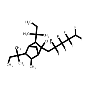 CCC(C)(C)C1C(C)C2CC1C(C(C)(C)CC)C2(C)CC(F)(F)C(F)(F)C(F)(F)C(F)F